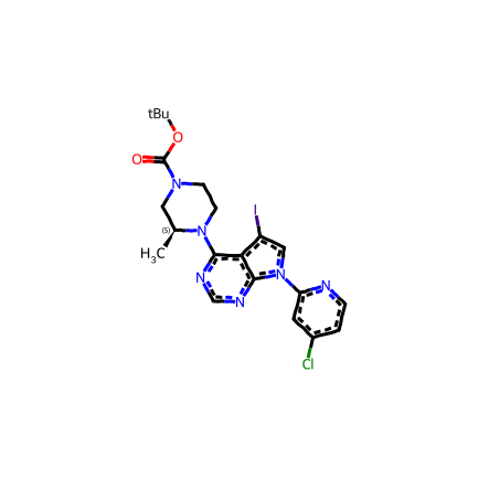 C[C@H]1CN(C(=O)OC(C)(C)C)CCN1c1ncnc2c1c(I)cn2-c1cc(Cl)ccn1